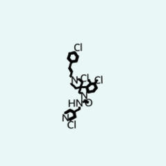 O=C(NCc1ccnc(Cl)c1)N1CC2(CCN(C/C=C/c3ccc(Cl)cc3)CC2)c2c1ccc(Cl)c2Cl